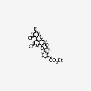 CCOC(=O)C[C@H]1CCCN(C(=O)[C@@H](C)Oc2ccc3c(-c4ccc(F)cc4Cl)cc(Cl)nc3c2)C1